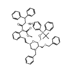 COC(=O)N(C(=O)[C@@H](N)C(c1ccccc1)c1ccccc1)c1ccccc1/C=C/[C@@H]1CN(Cc2ccccc2)[C@H](COCc2ccccc2)[C@@H](CO[Si](c2ccccc2)(c2ccccc2)C(C)(C)C)O1